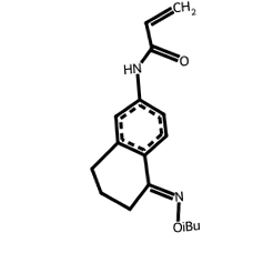 C=CC(=O)Nc1ccc2c(c1)CCC/C2=N\OCC(C)C